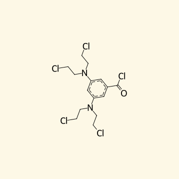 O=C(Cl)c1cc(N(CCCl)CCCl)cc(N(CCCl)CCCl)c1